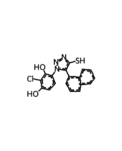 Oc1ccc(-n2nnc(S)c2-c2cccc3ccccc23)c(O)c1Cl